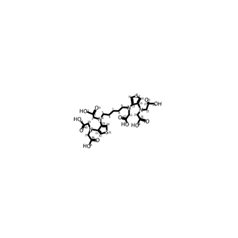 O=C(O)CN(CCCCCN(CC(=O)O)c1cscc1N(CC(=O)O)CC(=O)O)c1cscc1N(CC(=O)O)CC(=O)O